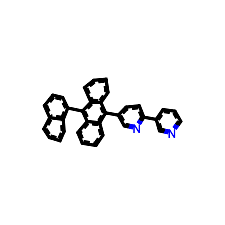 c1cncc(-c2ccc(-c3c4ccccc4c(-c4cccc5ccccc45)c4ccccc34)cn2)c1